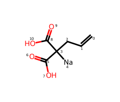 C=CC[C]([Na])(C(=O)O)C(=O)O